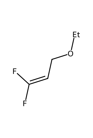 [CH2]COCC=C(F)F